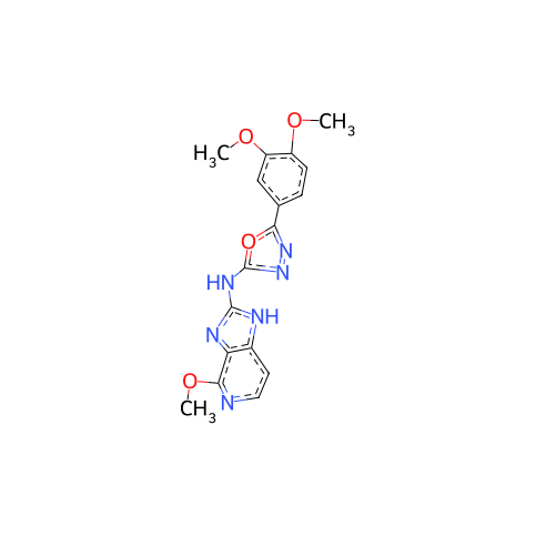 COc1ccc(-c2nnc(Nc3nc4c(OC)nccc4[nH]3)o2)cc1OC